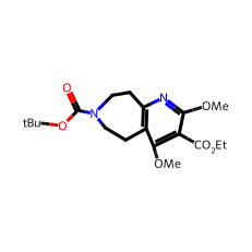 CCOC(=O)c1c(OC)nc2c(c1OC)CCN(C(=O)OC(C)(C)C)CC2